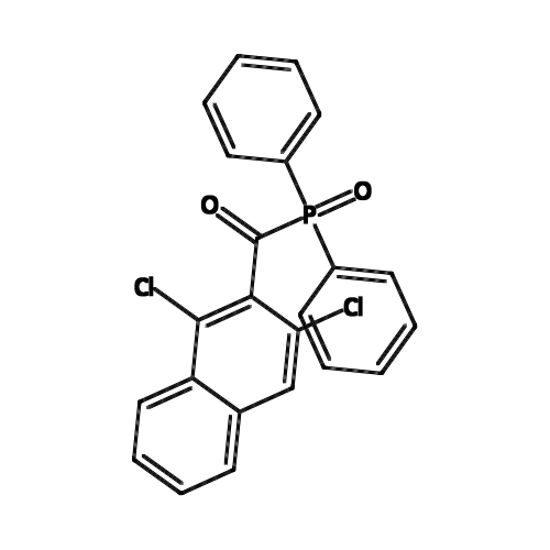 O=C(c1c(Cl)cc2ccccc2c1Cl)P(=O)(c1ccccc1)c1ccccc1